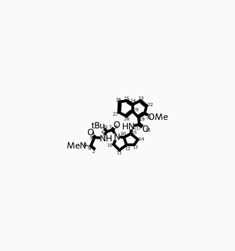 CN[C@@H](C)C(=O)NC(C(=O)N1CCC2CCC(NC(=O)c3c(OC)ccc4ccccc34)C21)C(C)(C)C